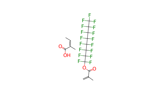 C=C(C)C(=O)OC(F)(F)C(F)(F)C(F)(F)C(F)(F)C(F)(F)C(F)(F)C(F)(F)C(F)(F)F.CC=C(C)C(=O)O